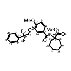 COC(=O)C1(NC(=O)c2ccc(OC)c(OCC(F)(F)c3ccccc3)c2)CCCCCC1